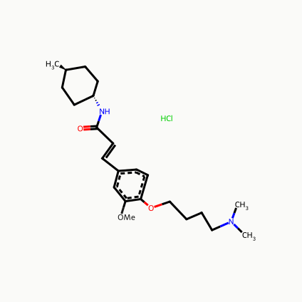 COc1cc(C=CC(=O)N[C@H]2CC[C@H](C)CC2)ccc1OCCCCN(C)C.Cl